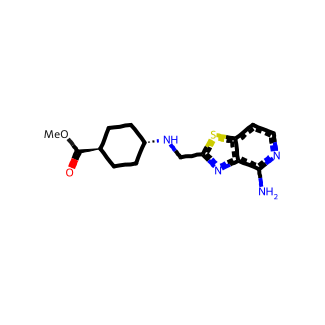 COC(=O)[C@H]1CC[C@H](NCc2nc3c(N)nccc3s2)CC1